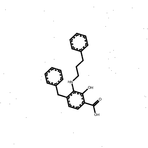 O=C(O)c1ccc(Cc2ccccc2)c(NCCCc2ccccc2)c1O